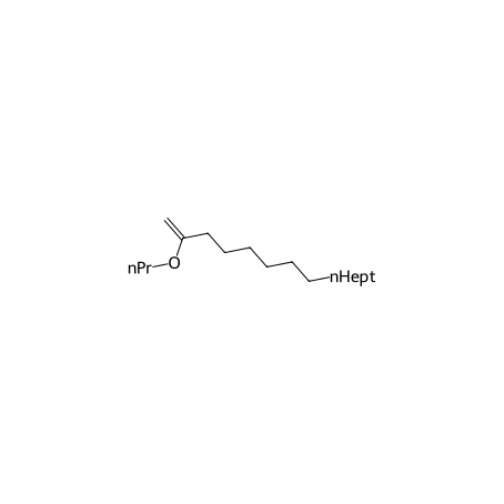 C=C(CCCCCCCCCCCCC)OCCC